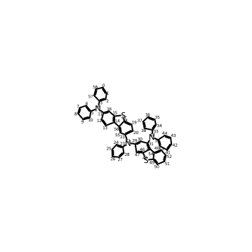 c1ccc(N(c2ccccc2)c2ccc3c(c2)sc2ccc(N(c4ccccc4)c4cc(N(c5ccccc5)c5ccccc5)c5c(c4)sc4ccccc45)cc23)cc1